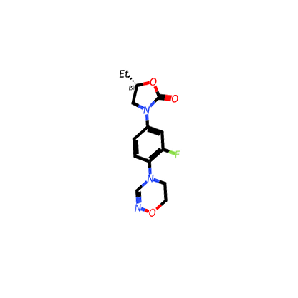 CC[C@H]1CN(c2ccc(N3C=NOCC3)c(F)c2)C(=O)O1